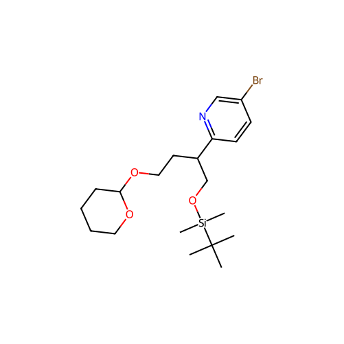 CC(C)(C)[Si](C)(C)OCC(CCOC1CCCCO1)c1ccc(Br)cn1